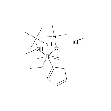 Cl.Cl.[CH2]=[Ti]([CH3])([CH2]C)([NH]C(C)(C)C)([O][Si](C)(C)C)([C]1=CC=CC1)[SiH](C)C